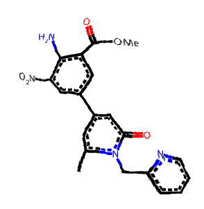 COC(=O)c1cc(-c2cc(C)n(Cc3ccccn3)c(=O)c2)cc([N+](=O)[O-])c1N